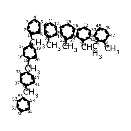 Cc1ccccc1.Cc1ccccc1.Cc1ccccc1.Cc1ccccc1.Cc1ccccc1.Cc1ccccc1.Cc1ccccc1C.c1ccccc1